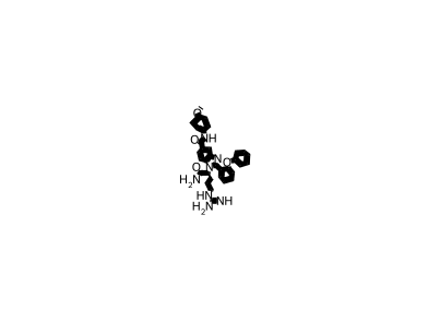 COc1ccc(NC(=O)c2ccc3c(c2)nc(-c2ccccc2Oc2ccccc2)n3[C@@H](CCCNC(=N)N)C(N)=O)cc1